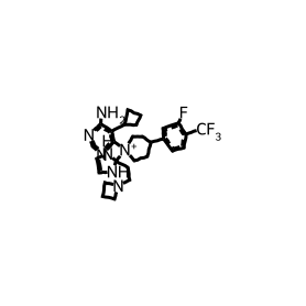 Nc1ncnc([N+]2(C3(CCN4CCC4)NC=CN3)CCC(c3ccc(C(F)(F)F)c(F)c3)CC2)c1C1CCC1